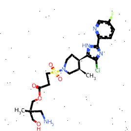 C[C@H]1CN(S(=O)(=O)CCC(=O)OCC(C)(CN)CO)CC[C@H]1c1[nH]c(-c2ccc(F)cn2)nc1Cl